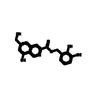 O=C(OCc1cccc(O)c1O)c1cc2cc(CO)cc(O)c2cn1